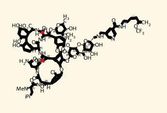 C=C(/C=C\C=C\NC(=O)c1cncc(CNC[C@H]2O[C@@H](O[C@H]3[C@H](O)[C@@H](O)[C@H](Oc4c5cc6cc4Oc4ccc(cc4Cl)[C@@H](O[C@H]4C[C@](C)(N)[C@@H](O)[C@H](C)O4)[C@@H]4NC(=O)[C@H](NC(=O)[C@@H]6NC(=O)C(CC(N)=O)NC(=O)C(NC(=O)[C@@H](CC(C)C)NC)[C@H](O)c6ccc(c(Cl)c6)O5)c5ccc(O)c(c5)-c5c(O)cc(O)cc5C(C(=O)O)NC4=O)O[C@@H]3CO)[C@H](O)[C@@H](O)[C@H]2O)c1)OC(F)(F)F